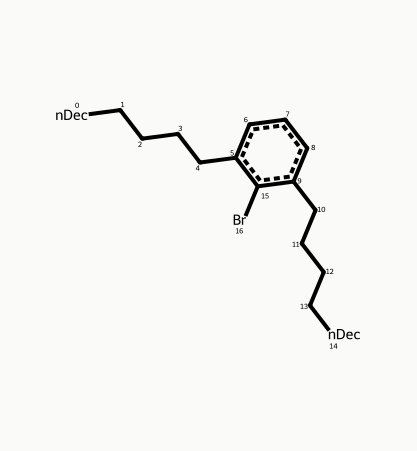 CCCCCCCCCCCCCCc1cccc(CCCCCCCCCCCCCC)c1Br